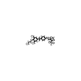 CC(C)(c1ccc(NCc2ocnc2S(C)(=O)=O)cc1)c1cc(Cl)c(OCCCl)c(Cl)c1